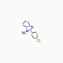 N#Cn1c(-c2ccc(Cl)cc2)nc2ccccc21